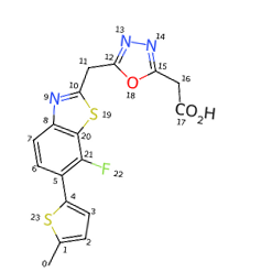 Cc1ccc(-c2ccc3nc(Cc4nnc(CC(=O)O)o4)sc3c2F)s1